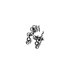 CCCCCN(C(=O)N1C(c2ccc(OC)c(F)c2)COCC1(C)C)C(C)(C)C.COc1ccc(C(=O)COCC(C)(C)NC(=O)O)cc1F